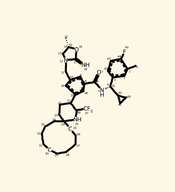 Cc1cc([C@@H](NC(=O)c2cc(CN3C[C@H](C)OC3=N)cc(C3CCC4(CCCCCCCCCC4)NC3C(F)(F)F)c2)C2CC2)ccc1F